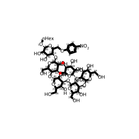 CCCCCCO[C@@H]1OC(COc2ccc([N+](=O)[O-])cc2)[C@@H](O[C@@H]2OC(CO)[C@H](O[C@H]3OC(CO)[C@H](O)[C@H](O[C@@H]4OC(CO)[C@H](O)[C@H](O[C@@H]5OC(CO)[C@H](O)[C@H](O)C5O[C@@H]5OC(C)[C@@H](O)[C@H](O)C5O)C4NC(C)=O)C3O)[C@H](O)C2O)[C@H](O)C1O